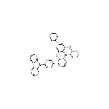 c1ccc(-c2cc3c4c(c2)Oc2c(cccc2-c2ccc(-n5c6ccccc6c6ccccc65)cc2)B4c2ccccc2O3)cc1